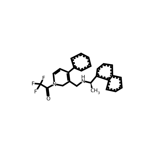 C[C@@H](NCC1=C(c2ccccc2)C=CN(C(=O)C(F)(F)F)C1)c1cccc2ccccc12